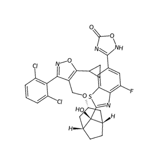 O=c1nc(-c2cc(F)c3nc([C@@]4(O)[C@@H]5CC[C@H]4C[C@@H](OCc4c(-c6c(Cl)cccc6Cl)noc4C4CC4)C5)sc3c2)[nH]o1